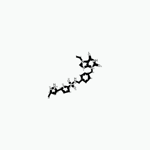 CCn1cnc2c1c(=O)[nH]c(=O)n2Cc1ccc(CNS(=O)(=O)c2ccc(-c3cc(C)n[nH]3)s2)cc1